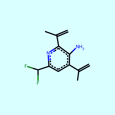 C=C(C)c1cc(C(F)F)nc(C(=C)C)c1N